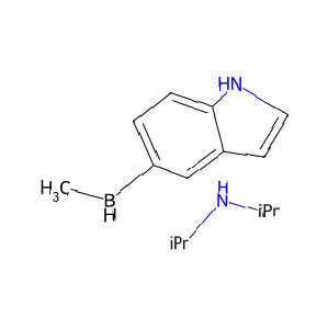 CBc1ccc2[nH]ccc2c1.CC(C)NC(C)C